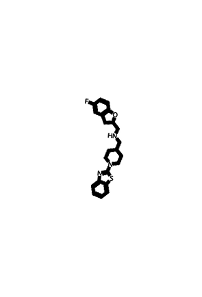 Fc1ccc2c(c1)CC(CNCC1CCN(c3nc4ccccc4s3)CC1)O2